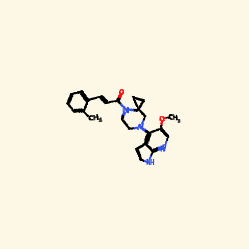 COc1cnc2[nH]ccc2c1N1CCN(C(=O)/C=C/c2ccccc2C)C2(CC2)C1